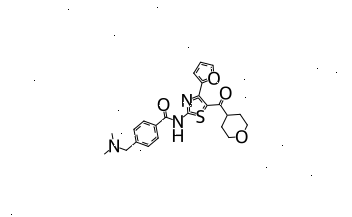 CN(C)Cc1ccc(C(=O)Nc2nc(-c3ccco3)c(C(=O)C3CCOCC3)s2)cc1